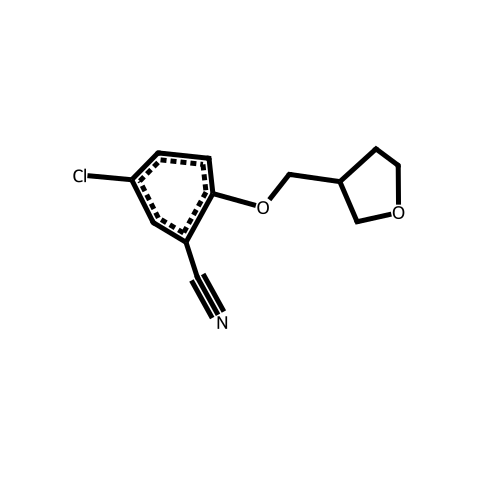 N#Cc1cc(Cl)ccc1OCC1CCOC1